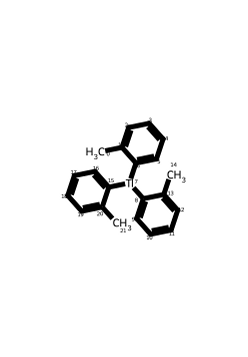 Cc1cccc[c]1[Tl]([c]1ccccc1C)[c]1ccccc1C